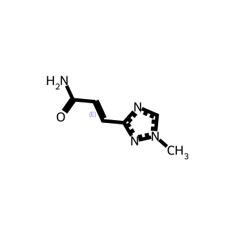 Cn1cnc(/C=C/C(N)=O)n1